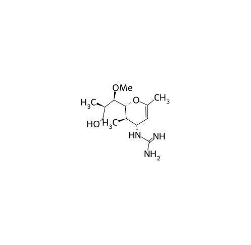 CO[C@@H]([C@@H]1OC(C)=C[C@H](NC(=N)N)[C@H]1C)[C@H](C)CO